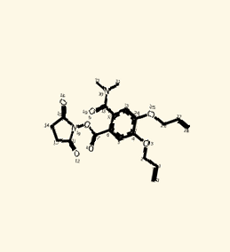 C=CCOc1cc(C(=O)ON2C(=O)CCC2=O)c(C(=O)N(C)C)cc1OCC=C